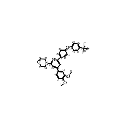 COc1ccc(C(C=Cc2ccc(Oc3ccc(C(F)(F)F)cc3)cc2)=CC(=O)N2CCOCC2)cc1OC